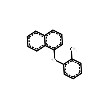 Cc1ccccc1Pc1cccc2ccccc12